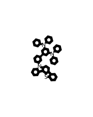 c1ccc(N(c2ccccc2)c2cc(-c3cccc(-n4c5ccccc5c5c6sc7ccccc7c6ccc54)c3)cc(N(c3ccccc3)c3ccccc3)c2)cc1